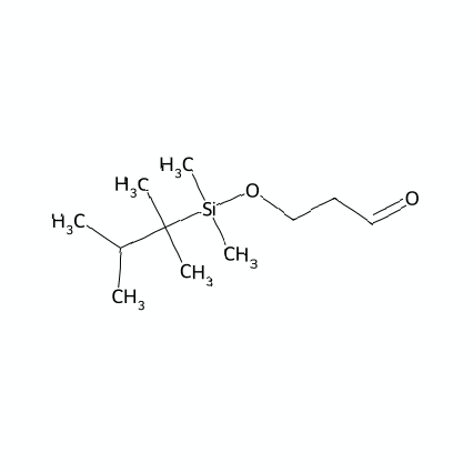 CC(C)C(C)(C)[Si](C)(C)OCCC=O